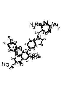 COc1c(-c2ccc3c(c2)CCN3Cc2cnc(N)nc2N)c(F)cc2c(=O)c(C(=O)O)cn(-c3ccc(F)cc3)c12.Cl.Cl